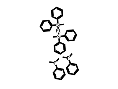 CP(C)c1ccccc1.CP(C)c1ccccc1.C[Si]([Pt][Si](C)(c1ccccc1)c1ccccc1)(c1ccccc1)c1ccccc1